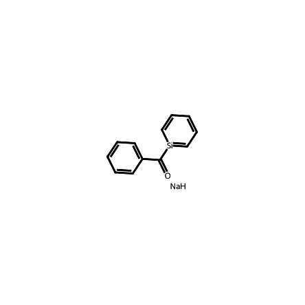 O=C(c1ccccc1)[si]1ccccc1.[NaH]